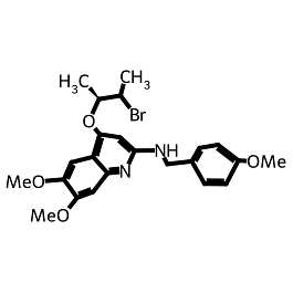 COc1ccc(CNc2cc(O[C@@H](C)C(C)Br)c3cc(OC)c(OC)cc3n2)cc1